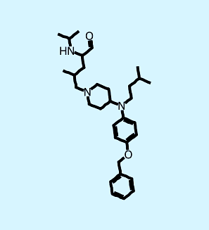 CC(C)CCN(c1ccc(OCc2ccccc2)cc1)C1CCN(CC(C)CC(C=O)NC(C)C)CC1